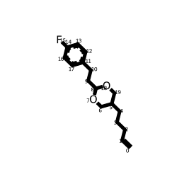 C=CCCCC1COC(CCc2ccc(F)cc2)OC1